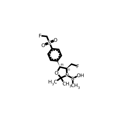 CB(O)N1[C@H](CF)[C@@H](c2ccc(S(=O)(=O)CF)cc2)OC1(C)C